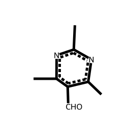 Cc1nc(C)c(C=O)c(C)n1